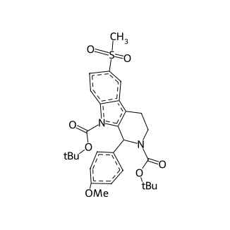 COc1ccc(C2c3c(c4cc(S(C)(=O)=O)ccc4n3C(=O)OC(C)(C)C)CCN2C(=O)OC(C)(C)C)cc1